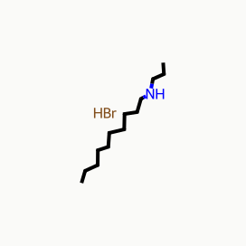 Br.CCCCCCCCCCNCCC